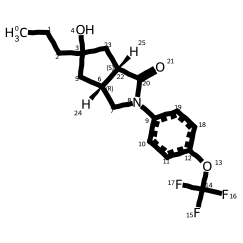 CCCC1(O)C[C@H]2CN(c3ccc(OC(F)(F)F)cc3)C(=O)[C@H]2C1